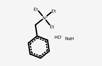 CC[N+](CC)(CC)Cc1ccccc1.[NaH].[OH-]